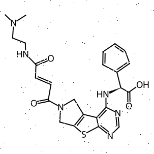 CN(C)CCNC(=O)/C=C/C(=O)N1Cc2sc3ncnc(N[C@H](C(=O)O)c4ccccc4)c3c2C1